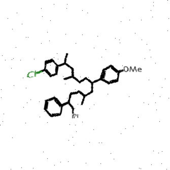 COc1ccc(C(CCC(C)CC(C)c2ccc(Cl)cc2)CC(C)CCC(CC(C)C)c2ccccc2)cc1